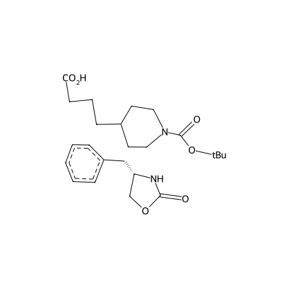 CC(C)(C)OC(=O)N1CCC(CCCC(=O)O)CC1.O=C1N[C@@H](Cc2ccccc2)CO1